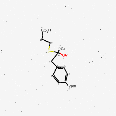 CCCCCCCCCc1ccc(C[C@](O)(CCCC)SCCC(=O)O)cc1